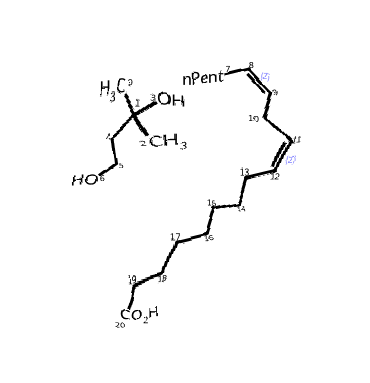 CC(C)(O)CCO.CCCCC/C=C\C/C=C\CCCCCCCC(=O)O